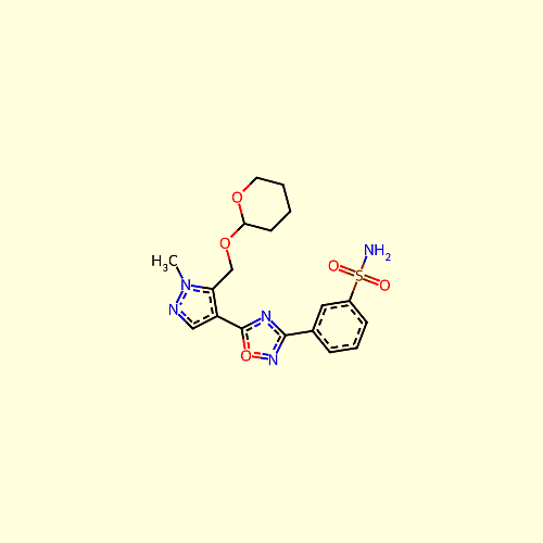 Cn1ncc(-c2nc(-c3cccc(S(N)(=O)=O)c3)no2)c1COC1CCCCO1